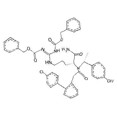 C[C@H](c1ccc(O)cc1)N(C(=O)Cc1ccccc1-c1ccc(Cl)cc1)[C@H](CCCNC(=NC(=O)OCc1ccccc1)NC(=O)OCc1ccccc1)C(N)=O